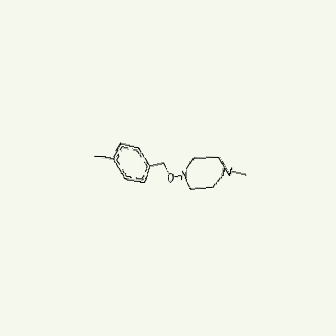 Cc1ccc(CON2CCN(C)CC2)cc1